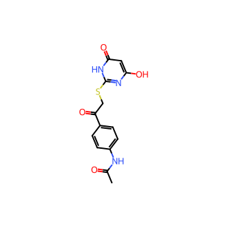 CC(=O)Nc1ccc(C(=O)CSc2nc(O)cc(=O)[nH]2)cc1